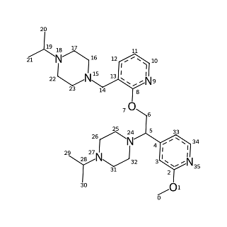 COc1cc(C(COc2ncccc2CN2CCN(C(C)C)CC2)N2CCN(C(C)C)CC2)ccn1